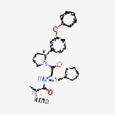 CN[C@@H](C)C(=O)N[C@@H](CC1CCCC1)C(=O)N1CCC[C@H]1c1cccc(Oc2ccccc2)c1